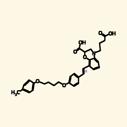 Cc1ccc(OCCCCOc2ccc(/C=C/c3cccc4c3OC(C(=O)O)CN4CCCC(=O)O)cc2)cc1